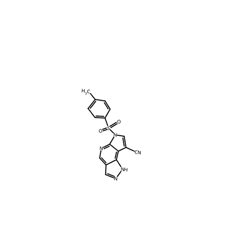 Cc1ccc(S(=O)(=O)n2cc(C#N)c3c4[nH]ncc4cnc32)cc1